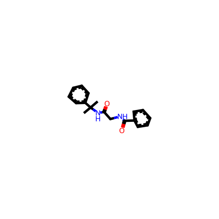 CC(C)(NC(=O)CNC(=O)c1ccccc1)c1ccccc1